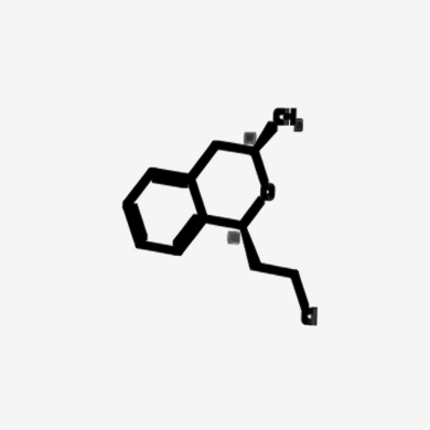 C[C@@H]1Cc2ccccc2[C@H](CCCl)O1